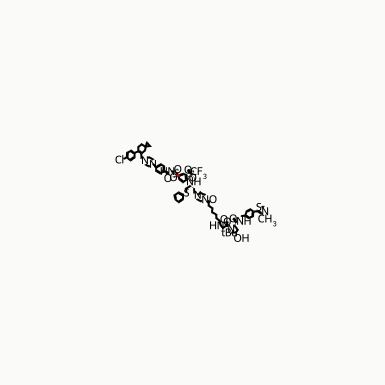 Cc1ncsc1-c1ccc(CNC(=O)[C@@H]2C[C@@H](O)CN2C(=O)[C@@H](NC(=O)CCCCCC(=O)N2CCN(CC[C@H](CSc3ccccc3)Nc3ccc(S(=O)(=O)NC(=O)c4ccc(N5CCN(CC6=C(c7ccc(Cl)cc7)CCC7(CC7)C6)CC5)cc4)cc3S(=O)(=O)C(F)(F)F)CC2)C(C)(C)C)cc1